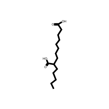 CCCCCC(CCCCCCCC(=O)O)C(=O)O